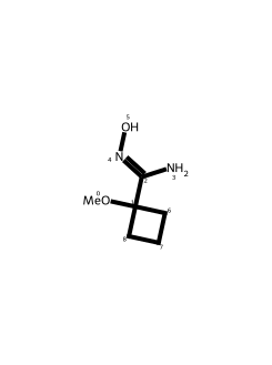 COC1(C(N)=NO)CCC1